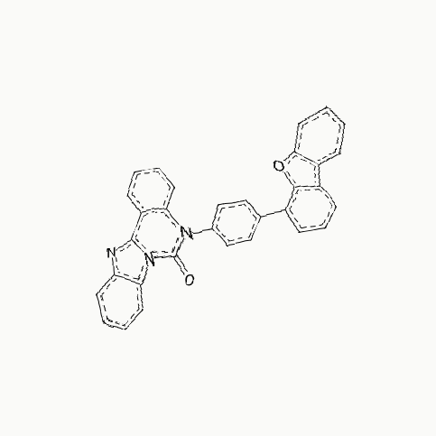 O=c1n(-c2ccc(-c3cccc4c3oc3ccccc34)cc2)c2ccccc2c2nc3ccccc3n12